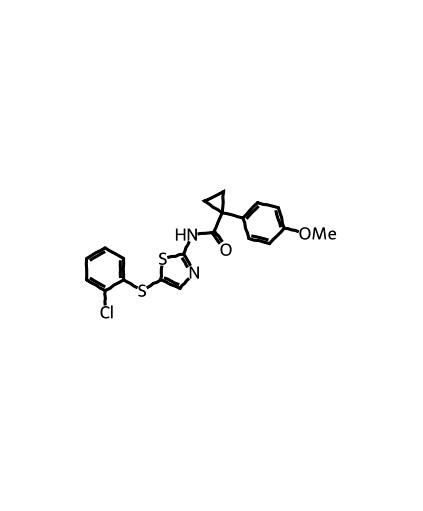 COc1ccc(C2(C(=O)Nc3ncc(Sc4ccccc4Cl)s3)CC2)cc1